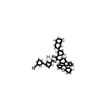 N#Cc1cccc(-c2cccc(/C=N/C(=C(\N)c3cccc(-c4ccc5ccccc5c4)c3)c3ccc4c(c3)C3(c5ccccc5Oc5ccccc53)c3ccccc3-4)c2)c1